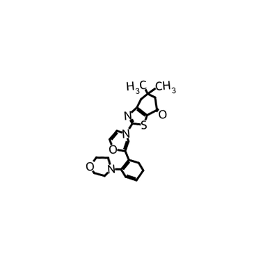 CC1(C)CC(=O)c2sc(N3C=COC(C4=C(N5CCOCC5)C=CCC4)=C3)nc2C1